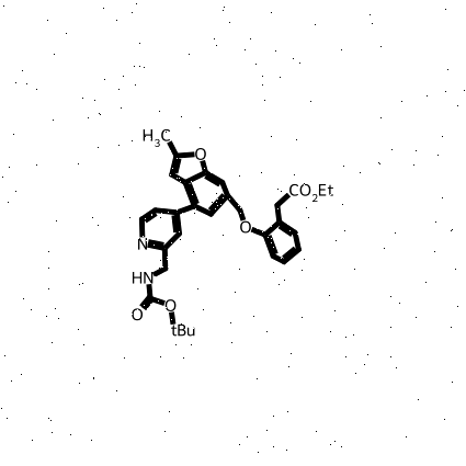 CCOC(=O)Cc1ccccc1OCc1cc(-c2ccnc(CNC(=O)OC(C)(C)C)c2)c2cc(C)oc2c1